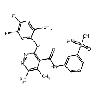 Cc1cc(F)c(F)cc1Oc1nnc(C(F)(F)F)c(C)c1C(=O)Nc1cccc(S(C)(=N)=O)c1